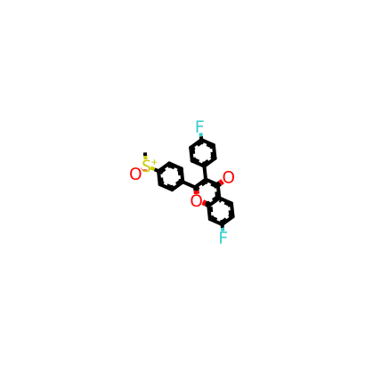 C[S+]([O-])c1ccc(-c2oc3cc(F)ccc3c(=O)c2-c2ccc(F)cc2)cc1